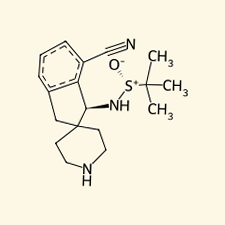 CC(C)(C)[S@@+]([O-])N[C@@H]1c2c(C#N)cccc2CC12CCNCC2